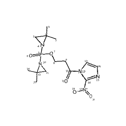 CC1(C)CN1P(=O)(OCCC(=O)n1ccnc1[N+](=O)[O-])N1CC1(C)C